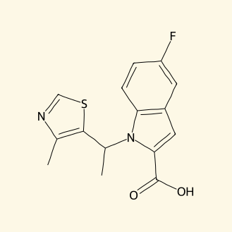 Cc1ncsc1C(C)n1c(C(=O)O)cc2cc(F)ccc21